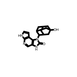 O=c1[nH]c2cnc3[nH]ccc3c2n1C1C2CC3CC1CC(O)(C3)C2